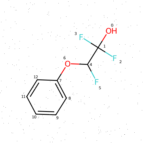 OC(F)(F)C(F)Oc1ccccc1